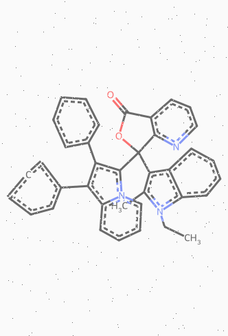 CCn1c(C)c(C2(c3c(-c4ccccc4)c(-c4ccccc4)c4ccccn34)OC(=O)c3cccnc32)c2ccccc21